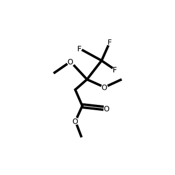 COC(=O)CC(OC)(OC)C(F)(F)F